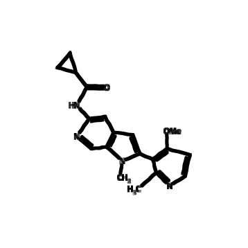 COc1ccnc(C)c1-c1cc2cc(NC(=O)C3CC3)ncc2n1C